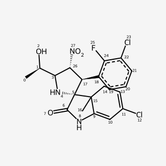 C[C@@H](O)C1N[C@]2(C(=O)NC3=CC(Cl)=CCC32C)[C@H](c2cccc(Cl)c2F)[C@H]1[N+](=O)[O-]